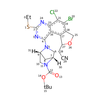 CCSc1nc(N2C[C@H]3C[C@@H]2CN3C(=O)OC(C)(C)C)c2c3c(c(Br)c(Cl)c2n1)COC3CC#N